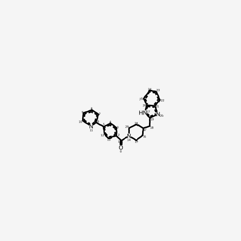 O=C(c1ccc(-c2ccccn2)cc1)N1CCC(Cc2nc3ccccc3[nH]2)CC1